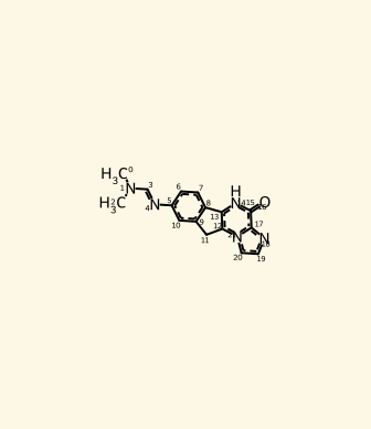 CN(C)C=Nc1ccc2c(c1)Cc1c-2[nH]c(=O)c2nccn12